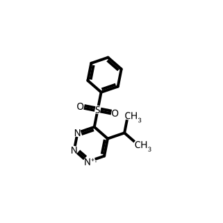 CC(C)C1=C[N+]=NN=C1S(=O)(=O)c1ccccc1